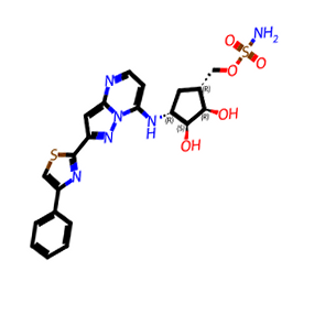 NS(=O)(=O)OC[C@H]1C[C@@H](Nc2ccnc3cc(-c4nc(-c5ccccc5)cs4)nn23)[C@H](O)[C@@H]1O